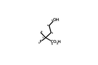 CC(F)(CCO)C(=O)O